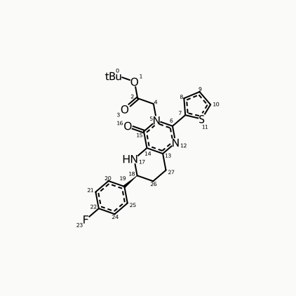 CC(C)(C)OC(=O)Cn1c(-c2cccs2)nc2c(c1=O)N[C@H](c1ccc(F)cc1)CC2